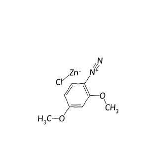 COc1ccc([N+]#N)c(OC)c1.[Cl][Zn-]